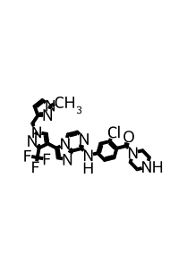 Cn1ccc(Cn2cc(-c3cnc4c(Nc5ccc(C(=O)N6CCNCC6)c(Cl)c5)nccn34)c(C(F)(F)F)n2)n1